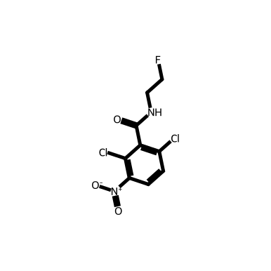 O=C(NCCF)c1c(Cl)ccc([N+](=O)[O-])c1Cl